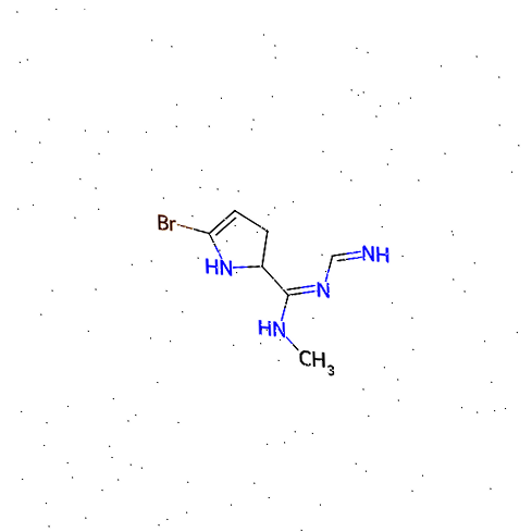 CN/C(=N/C=N)C1CC=C(Br)N1